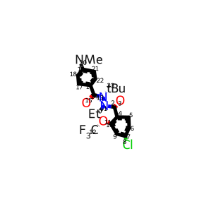 CCN(C(=O)c1ccc(Cl)cc1OC(F)(F)F)N(C(=O)c1ccc(NC)cc1)C(C)(C)C